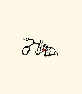 CCCCC(Br)N1C2CC(OC(=O)C(CO)c3ccccc3)CC1C1OC12